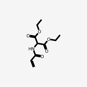 C=CC(=O)NC(C(=O)OCC)C(=O)OCC